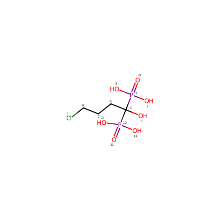 O=P(O)(O)C(O)(CCCCl)P(=O)(O)O